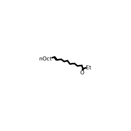 CCCCCCCCC=CCCCCCCCC(=O)CC